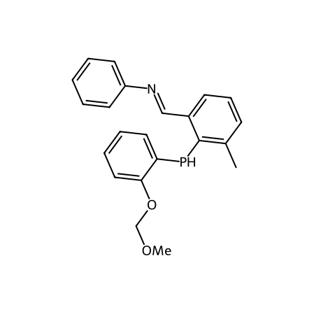 COCOc1ccccc1Pc1c(C)cccc1/C=N/c1ccccc1